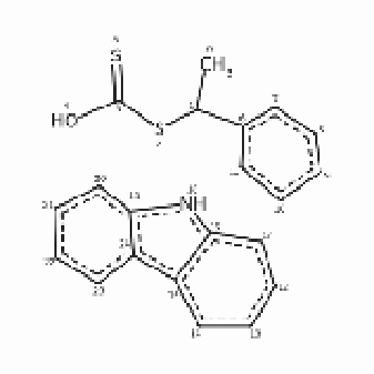 CC(SC(O)=S)c1ccccc1.c1ccc2c(c1)[nH]c1ccccc12